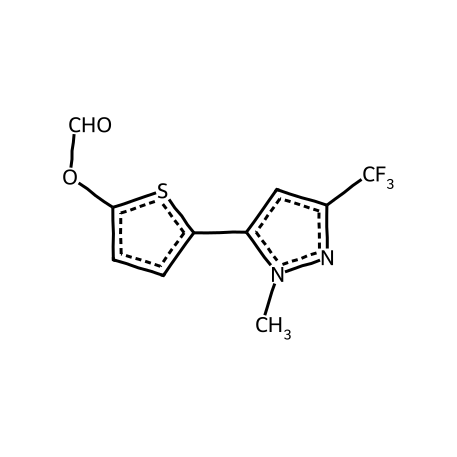 Cn1nc(C(F)(F)F)cc1-c1ccc(OC=O)s1